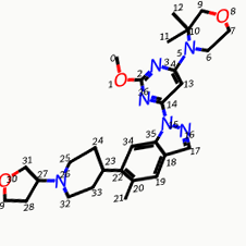 COc1nc(N2CCOCC2(C)C)cc(-n2ncc3cc(C)c(C4CCN(C5CCOC5)CC4)cc32)n1